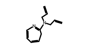 C=CCN(CC=C)C1=NC=CC=CC1